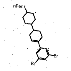 CCCCCC1CCC(C2CC=C(c3cc(Br)cc(Br)c3)CC2)CC1